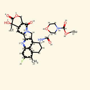 CCC1(O)C(=O)OCc2c1cc1n(c2=O)Cc2c-1nc1cc(F)c(C)c3c1c2[C@H](NC(=O)[C@H]1CN(C(=O)OC(C)(C)C)CCO1)CC3